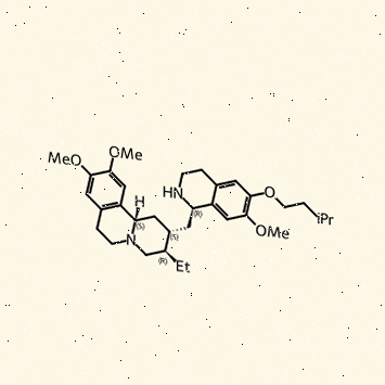 CC[C@H]1CN2CCc3cc(OC)c(OC)cc3[C@@H]2C[C@@H]1C[C@H]1NCCc2cc(OCCC(C)C)c(OC)cc21